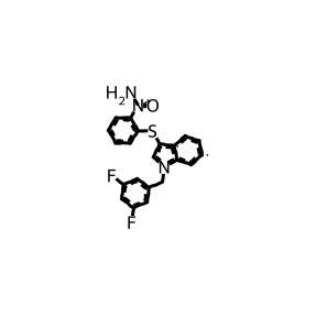 N[N+](=O)c1ccccc1Sc1cn(Cc2cc(F)cc(F)c2)c2c[c]ccc12